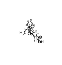 CCC(N(C)Cc1ccc(C(=O)NO)cc1)C12CC3CC(CC(C3)C1)C2